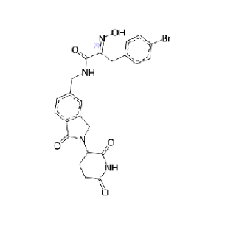 O=C1CCC(N2Cc3cc(CNC(=O)/C(Cc4ccc(Br)cc4)=N/O)ccc3C2=O)C(=O)N1